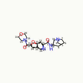 O=C(N[C@@H]1CC2CCN(C2)C1)c1cc2oc(C(=O)N3CCOCC3)cc2cn1